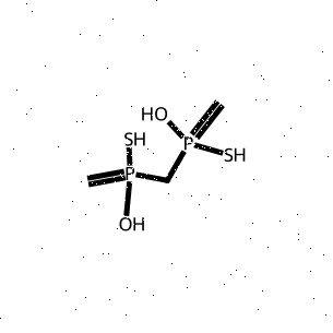 C=P(O)(S)CP(=C)(O)S